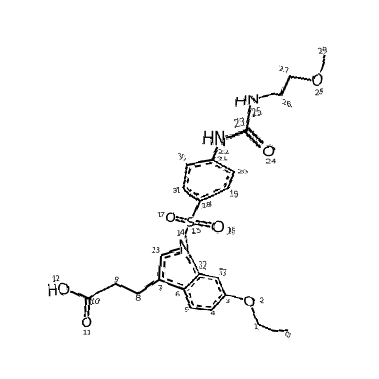 CCOc1ccc2c(CCC(=O)O)cn(S(=O)(=O)c3ccc(NC(=O)NCCOC)cc3)c2c1